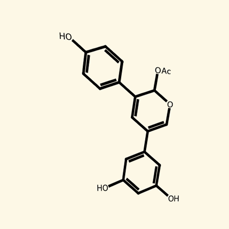 CC(=O)OC1OC=C(c2cc(O)cc(O)c2)C=C1c1ccc(O)cc1